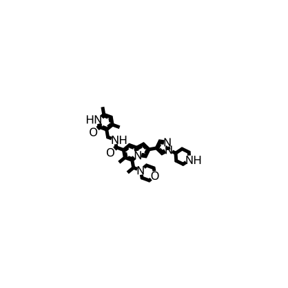 Cc1cc(C)c(CNC(=O)c2cc3cc(-c4cnn(C5CCNCC5)c4)cn3c(C(C)N3CCOCC3)c2C)c(=O)[nH]1